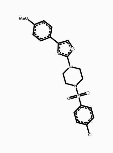 COc1ccc(-c2csc(N3CCN(S(=O)(=O)c4ccc(Cl)cc4)CC3)n2)cc1